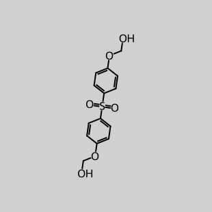 O=S(=O)(c1ccc(OCO)cc1)c1ccc(OCO)cc1